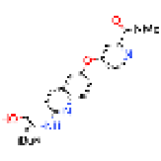 CC[C@H](C)[C@@H](CO)Nc1ccc2cc(Oc3ccnc(C(=O)NC)c3)ccc2n1